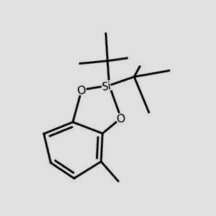 Cc1cccc2c1O[Si](C(C)(C)C)(C(C)(C)C)O2